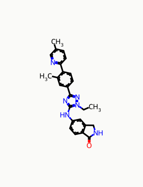 CCn1nc(-c2ccc(-c3ccc(C)cn3)c(C)c2)nc1Nc1ccc2c(c1)CNC2=O